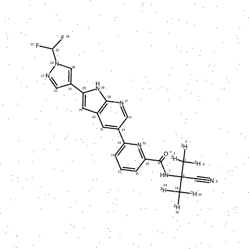 [2H]C([2H])([2H])C(C#N)(NC(=O)c1cccc(-c2cnc3[nH]c(-c4cnn(C(F)F)c4)cc3c2)n1)C([2H])([2H])[2H]